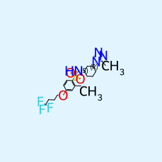 CCc1cc(OCCCC(F)(F)F)ccc1S(=O)(=O)N[C@H]1CCC[C@@H](n2cnnc2C)C1